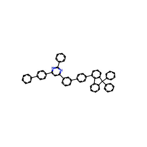 c1ccc(-c2ccc(-c3cc(-c4cccc(-c5ccc(-c6cccc7c6-c6ccccc6C7(c6ccccc6)c6ccccc6)cc5)c4)nc(-c4ccccc4)n3)cc2)cc1